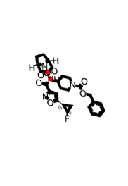 O=C(NC1C[C@H]2CC[C@@H](C1)N2S(=O)(=O)CC1CCN(C(=O)OCc2ccccc2)CC1)c1cc([C@@H]2C[C@H]2F)on1